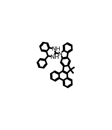 CC1(C)c2cc3c4ccccc4n(C4Nc5ccccc5C(c5ccccc5)N4)c3cc2-c2c1c1ccccc1c1ccccc21